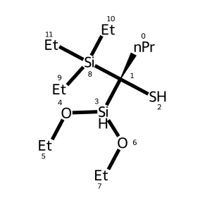 CCC[C@@](S)([SiH](OCC)OCC)[Si](CC)(CC)CC